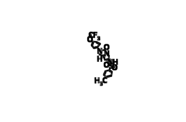 Cc1ccc(S(=O)(=O)N[C@H]2C[C@H]3CN(c4ccc(OC(F)(F)F)cc4)C(=O)N3C2)cc1